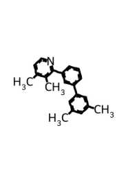 Cc1cc(C)cc(-c2cccc(-c3nccc(C)c3C)c2)c1